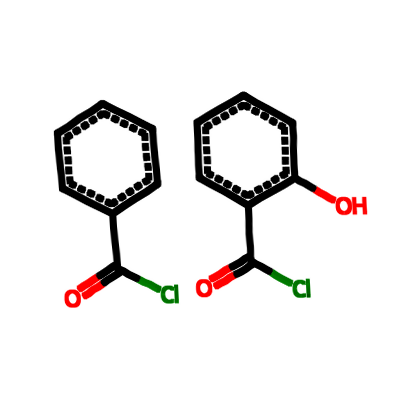 O=C(Cl)c1ccccc1.O=C(Cl)c1ccccc1O